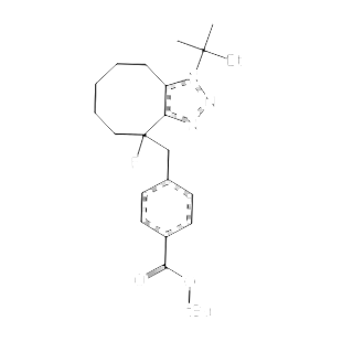 CCC(C)(C)n1nnc2c1CCCCCC2(F)Cc1ccc(C(=O)OC(C)(C)C)cc1